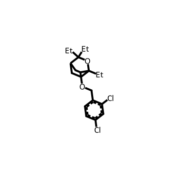 CCC1(CC)OC2(CC)CCC1CC2OCc1ccc(Cl)cc1Cl